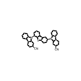 N#Cc1ccc2c3ccccc3n(-c3ccc4sc5c(-n6c7ccccc7c7ccc(C#N)cc76)cccc5c4c3)c2c1